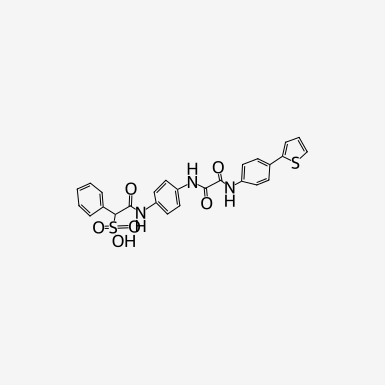 O=C(Nc1ccc(NC(=O)C(c2ccccc2)S(=O)(=O)O)cc1)C(=O)Nc1ccc(-c2cccs2)cc1